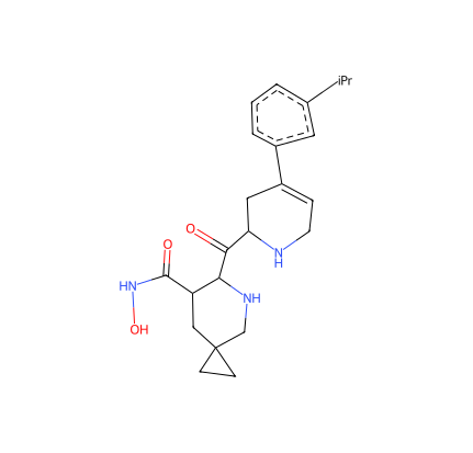 CC(C)c1cccc(C2=CCNC(C(=O)C3NCC4(CC4)CC3C(=O)NO)C2)c1